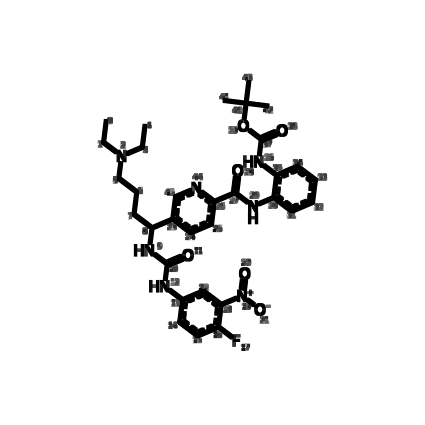 CCN(CC)CCCC(NC(=O)Nc1ccc(F)c([N+](=O)[O-])c1)c1ccc(C(=O)Nc2ccccc2NC(=O)OC(C)(C)C)nc1